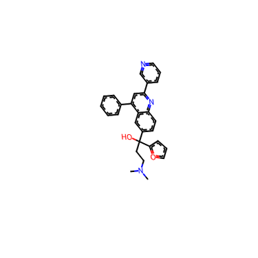 CN(C)CCC(O)(c1ccc2nc(-c3cccnc3)cc(-c3ccccc3)c2c1)c1ccco1